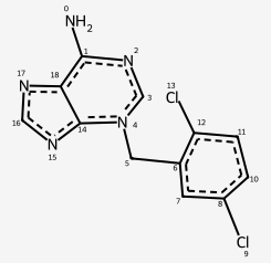 Nc1ncn(Cc2cc(Cl)ccc2Cl)c2ncnc1-2